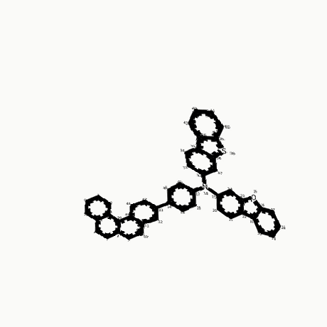 c1ccc2c(c1)ccc1ccc3cc(-c4ccc(N(c5ccc6c(c5)oc5ccccc56)c5ccc6c(c5)sc5ccccc56)cc4)ccc3c12